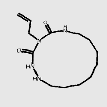 C=CCN1C(=O)NCCCCCCCCNNC1=O